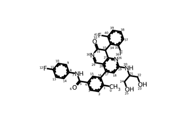 Cc1ccc(C(=O)Nc2ccc(F)cc2)cc1-c1cc(NC(CO)CO)nc2c1C=NC(=O)C2c1c(F)cccc1F